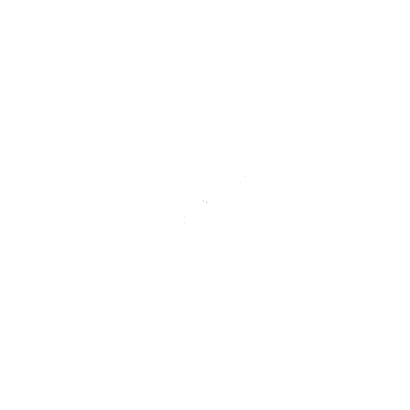 Cc1ccc2nc(N(C=O)c3ccccc3)sc2c1